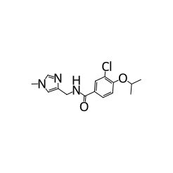 CC(C)Oc1ccc(C(=O)NCc2cn(C)cn2)cc1Cl